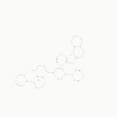 CC(C)c1cccc(-c2ccc(C3=CC=C4Sc5ccccc5C5=CC=CC3[C@@H]45)cc2)c1-n1c2ccccc2c2c3ccccc3ccc21